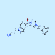 NCCCn1ccc2cc(C(=O)N3CCN(CCc4ccccc4)CC3)ccc21